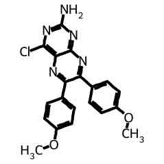 COc1ccc(-c2nc3nc(N)nc(Cl)c3nc2-c2ccc(OC)cc2)cc1